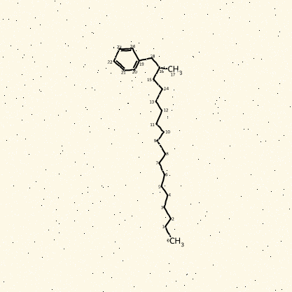 CCCCCCCCCCCCCCC[CH]C(C)Cc1ccccc1